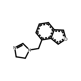 C1=NCCN1Cc1cccc2cocc12